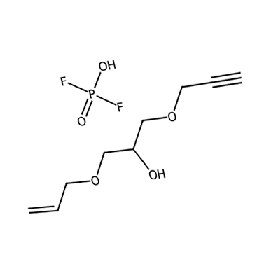 C#CCOCC(O)COCC=C.O=P(O)(F)F